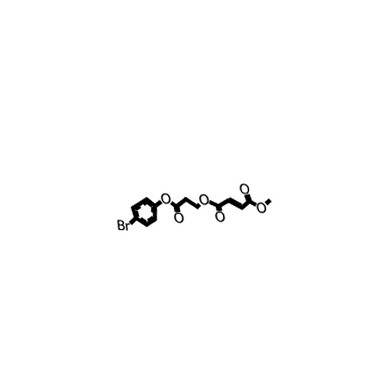 COC(=O)/C=C/C(=O)OCCC(=O)Oc1ccc(Br)cc1